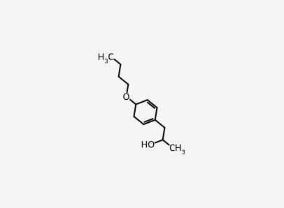 CCCCOC1C=CC(CC(C)O)=CC1